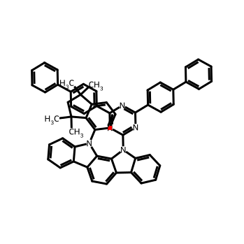 CC1(C)CC(C)(C)c2c(-n3c4ccccc4c4ccc5c6ccccc6n(-c6nc(-c7ccc(-c8ccccc8)cc7)nc(-c7ccc(-c8ccccc8)cc7)n6)c5c43)cccc21